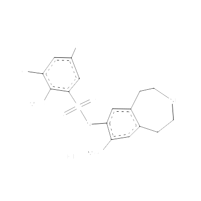 COc1cc2c(cc1NS(=O)(=O)c1cc(Cl)cc(Cl)c1OC)CCNCC2.Cl